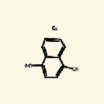 N#Cc1ccc(C#N)c2ccccc12.[Cu]